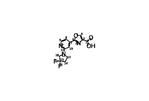 O=C(O)c1coc(-c2ccnc(N3CCC(F)(F)C3)c2)n1